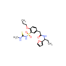 CCCOc1ccc(CC(=O)NC(CC)c2ccco2)cc1S(=O)(=O)NC(=S)NC